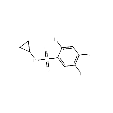 O=S(=O)(NC1CC1)c1cc(F)c(Br)cc1F